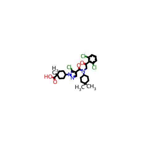 CC1(C)CCC(N(CC(=O)c2c(Cl)cccc2Cl)C(=O)c2cnn(C3CCC(C)(C(=O)O)CC3)c2Cl)CC1